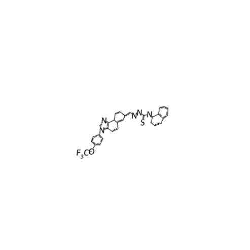 FC(F)(F)Oc1ccc(-n2cnc3c2C=CC2=CC(=CN=NC(=S)N=C4CC=Cc5ccccc54)C=CC23)cc1